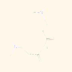 CN(C)CC[C](=O)[Cu][C](=O)CCN(C)C